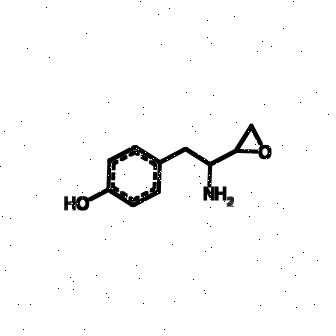 NC(Cc1ccc(O)cc1)C1CO1